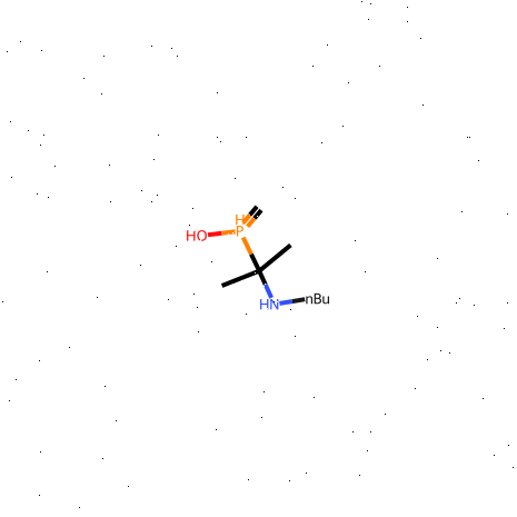 C=[PH](O)C(C)(C)NCCCC